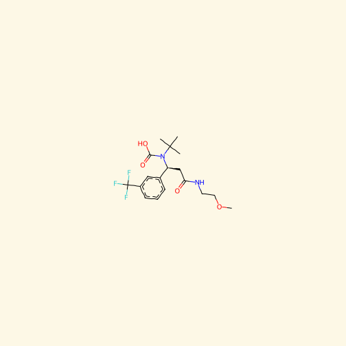 COCCNC(=O)C[C@@H](c1cccc(C(F)(F)F)c1)N(C(=O)O)C(C)(C)C